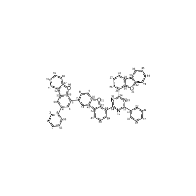 c1ccc(-c2cc(-c3ccc4oc5c(-c6nc(-c7ccccc7)nc(-c7cccc8c7oc7ccccc78)n6)cccc5c4c3)c3oc4ccccc4c3c2)cc1